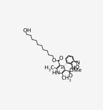 COC(=O)C1=C(C)NC(C)=C(C(=O)OCCCCCCCCCCO)[C@@H]1c1cccc2nonc12